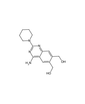 Nc1nc(N2CCCCC2)nc2cc(CO)c(CO)cc12